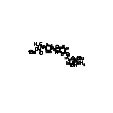 CN(C(=O)OC(C)(C)C)c1ccc(-c2nc3cc(OC[C@@H](CO)O[Si](C)(C)C(C)(C)C)ccc3o2)cc1